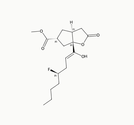 CCCC[C@@H](F)CC=C(O)[C@@]12C[C@H](C(=O)OC)C[C@H]1CC(=O)O2